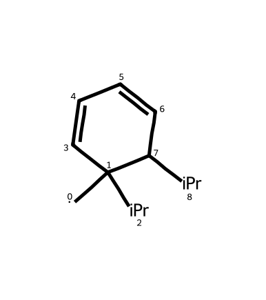 [CH2]C1(C(C)C)C=CC=CC1C(C)C